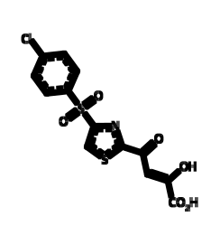 O=C(O)C(O)=CC(=O)c1nc(S(=O)(=O)c2ccc(Cl)cc2)cs1